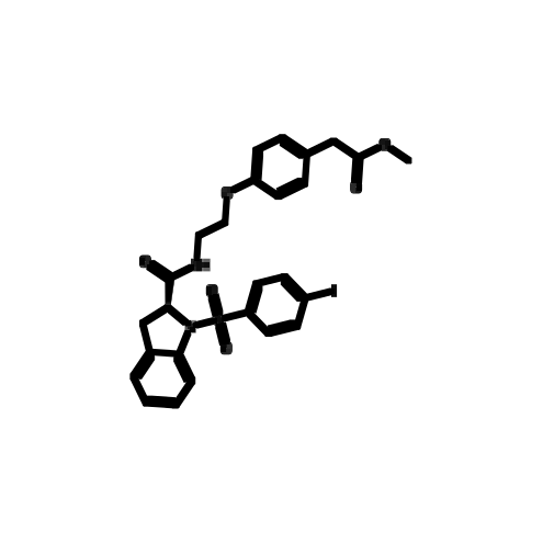 COC(=O)Cc1ccc(OCCNC(=O)[C@@H]2Cc3ccccc3N2S(=O)(=O)c2ccc(I)cc2)cc1